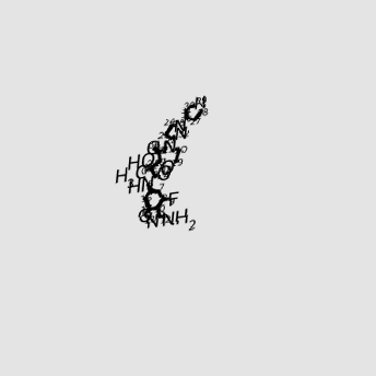 C[C@](O)(C(=O)Nc1cc(F)c2c(N)noc2c1)[C@H]1OCCN(c2ccn(-c3ccncc3)n2)C1=O